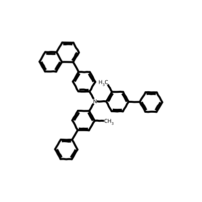 Cc1cc(-c2ccccc2)ccc1N(c1ccc(-c2cccc3ccccc23)cc1)c1ccc(-c2ccccc2)cc1C